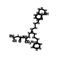 CCC(CC)CC(=O)NC(CCN(CCCCc1ccc2c(n1)NCCC2)CCCc1ccccc1)C(=O)O